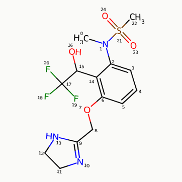 CN(c1cccc(OCC2=NCCN2)c1C(O)C(F)(F)F)S(C)(=O)=O